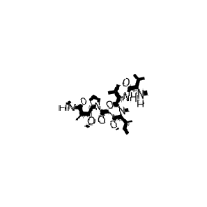 CC[C@H](C)[C@@H]([C@@H](CC(=O)N1CCC[C@H]1[C@H](OC)[C@@H](C)C(=O)NC)OC)N(C)C(=O)[C@@H](NC(=O)[C@@H](NC)C(C)C)C(C)C